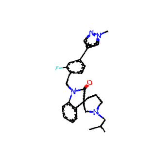 CC(C)CN1CCC2(C1)C(=O)N(Cc1ccc(-c3cnn(C)c3)cc1F)c1ccccc12